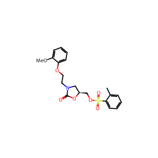 COc1ccccc1OCCN1C[C@@H](COS(=O)(=O)c2ccccc2C)OC1=O